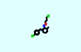 CC1CCCC(=C\c2ccc(Cl)cc2)/C1=N/OCCCCl